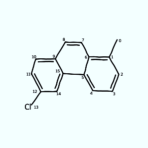 Cc1cccc2c1ccc1ccc(Cl)cc12